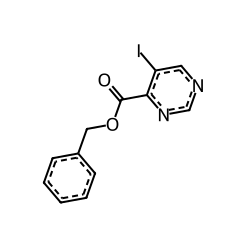 O=C(OCc1ccccc1)c1ncncc1I